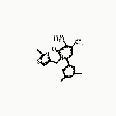 Cc1cc(C)cc(-c2cc(C(F)(F)F)c(N)c(=O)n2Cc2csc(C)n2)c1